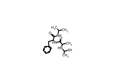 CC(C)NC(=O)C(Cc1ccccc1)NC(=O)C(C)NC(C)S